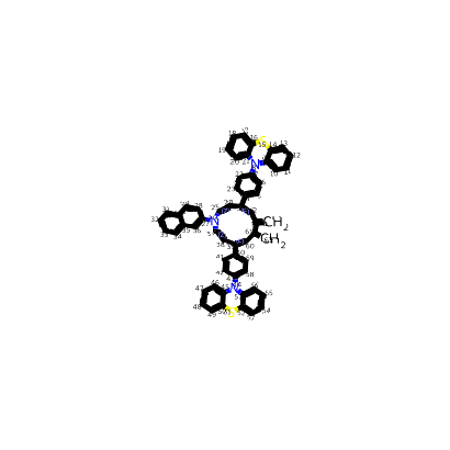 C=C1/C=C(C2=CC=C(N3c4ccccc4Sc4ccccc43)CC2)\C=C/N(c2ccc3ccccc3c2)/C=C\C(c2ccc(N3c4ccccc4Sc4ccccc43)cc2)=C/C1=C